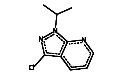 CC(C)n1nc(Cl)c2cccnc21